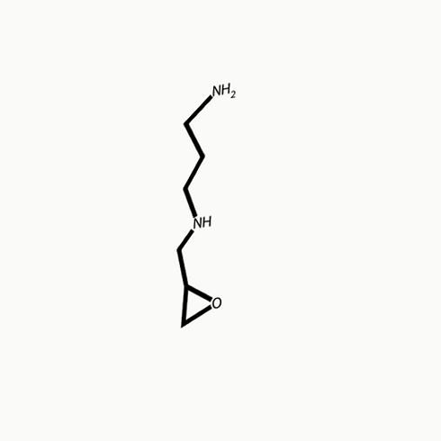 NCCCNCC1CO1